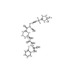 CC(C)(C#CCC(C#N)C(=O)N1CCC[C@H](NC(=O)N[C@@H](Cc2ccccc2)B(O)O)C1)N1CCC(F)(F)C1